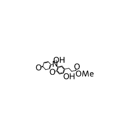 COC(=O)CCc1cc2c(cc1O)OC1=C(C=CC(=O)C1)N2O